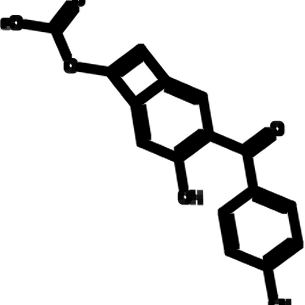 COC(=O)OC1=Cc2cc(C(=O)c3ccc(C#N)cc3)c(O)cc21